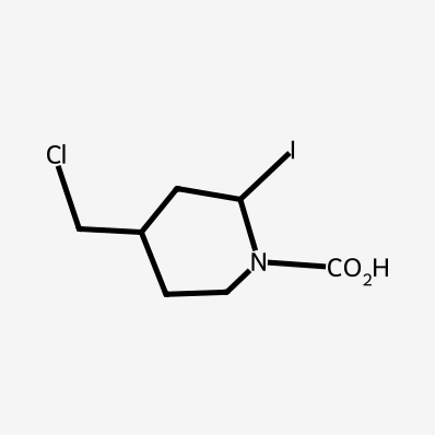 O=C(O)N1CCC(CCl)CC1I